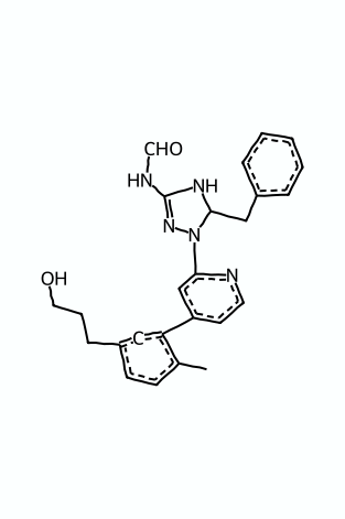 Cc1ccc(CCCO)cc1-c1ccnc(N2N=C(NC=O)NC2Cc2ccccc2)c1